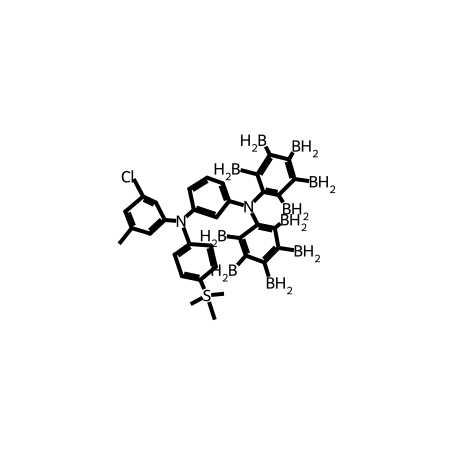 Bc1c(B)c(B)c(N(c2cccc(N(c3ccc(S(C)(C)C)cc3)c3cc(C)cc(Cl)c3)c2)c2c(B)c(B)c(B)c(B)c2B)c(B)c1B